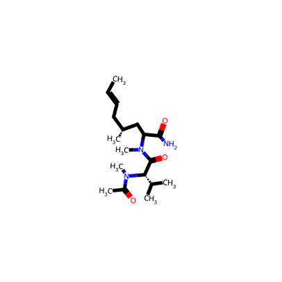 C/C=C/C[C@@H](C)CC(C(N)=O)N(C)C(=O)[C@H](C(C)C)N(C)C(C)=O